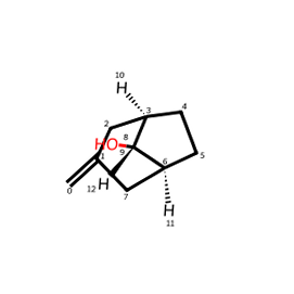 C=C1C[C@H]2CC[C@@H](C1)[C@@H]2O